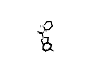 O=C([C@@H]1CCCCN1)N1Cc2ccc(F)cc2C1